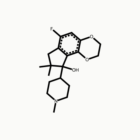 CN1CCC(C2(O)c3c(c(F)cc4c3OCCO4)CC2(C)C)CC1